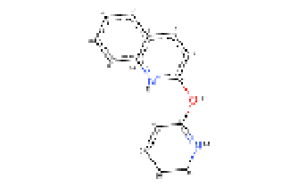 C1=CC(Oc2ccc3ccccc3n2)=NCC1